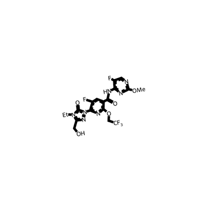 CCn1c(CO)nn(-c2nc(OCC(F)(F)F)c(C(=O)Nc3nc(OC)ncc3F)cc2F)c1=O